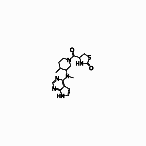 CC1CCN(C(=O)C2CSC(=O)N2)CC1N(C)c1ncnc2[nH]ccc12